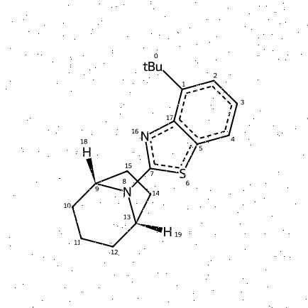 CC(C)(C)c1cccc2sc(N3[C@@H]4CCC[C@H]3CC4)nc12